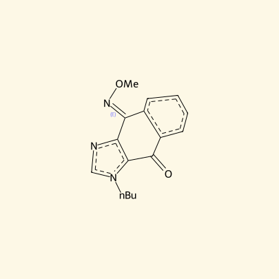 CCCCn1cnc2c1C(=O)c1ccccc1/C2=N\OC